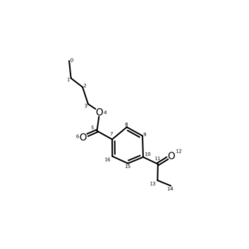 CCCCOC(=O)c1ccc(C(=O)CC)cc1